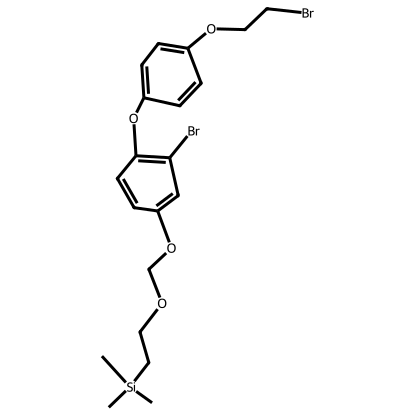 C[Si](C)(C)CCOCOc1ccc(Oc2ccc(OCCBr)cc2)c(Br)c1